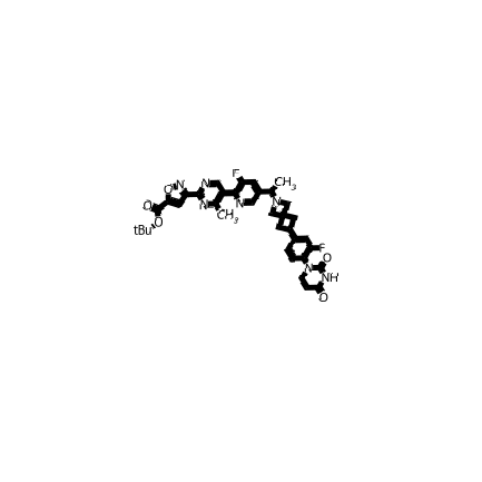 Cc1nc(-c2cc(C(=O)OC(C)(C)C)on2)ncc1-c1ncc(C(C)N2CC3(CC(c4ccc(N5CCC(=O)NC5=O)c(F)c4)C3)C2)cc1F